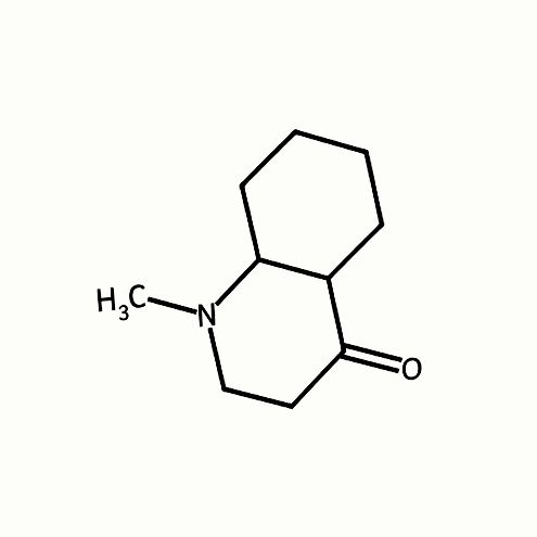 CN1CCC(=O)C2CCCCC21